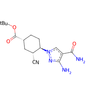 CC(C)(C)OC(=O)[C@@H]1CC[C@@H](n2cc(C(N)=O)c(N)n2)[C@H](C#N)C1